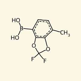 Cc1ccc(B(O)O)c2c1OC(F)(F)O2